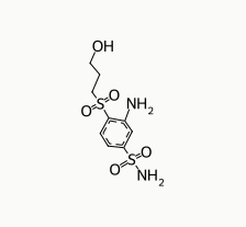 Nc1cc(S(N)(=O)=O)ccc1S(=O)(=O)CCCO